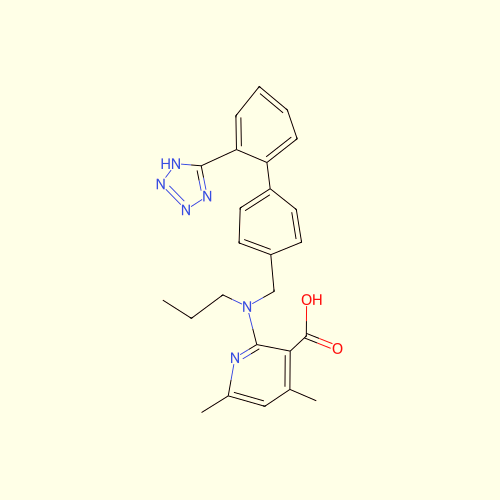 CCCN(Cc1ccc(-c2ccccc2-c2nnn[nH]2)cc1)c1nc(C)cc(C)c1C(=O)O